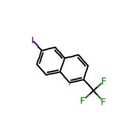 FC(F)(F)c1[c]c2ccc(I)cc2cc1